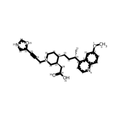 COc1ccc2nccc([C@@H](F)CC[C@@H]3CCN(CC#Cc4cnco4)C[C@@H]3CC(=O)O)c2c1